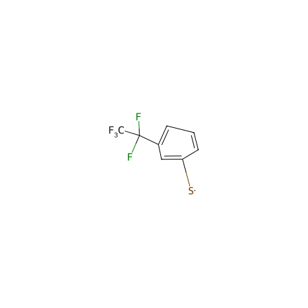 FC(F)(F)C(F)(F)c1cccc([S])c1